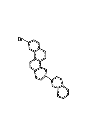 Brc1ccc2ccc3c4cc(-c5ccc6ccccc6c5)ccc4ccc3c2c1